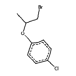 CC(CBr)Oc1ccc(Cl)cc1